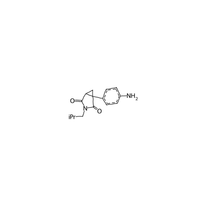 CC(C)CN1C(=O)C2CC2(c2ccc(N)cc2)C1=O